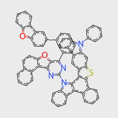 c1ccc(-c2nc(-n3c4ccccc4c4c5ccccc5c5sc6cc7c(cc6c5c43)c3cc(-c4ccc5oc6ccccc6c5c4)ccc3n7-c3ccccc3)nc3c2oc2ccc4ccccc4c23)cc1